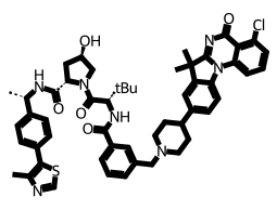 Cc1ncsc1-c1ccc([C@H](C)NC(=O)[C@@H]2C[C@@H](O)CN2C(=O)[C@@H](NC(=O)c2cccc(CN3CCC(c4ccc5c(c4)C(C)(C)c4nc(=O)c6c(Cl)cccc6n4-5)CC3)c2)C(C)(C)C)cc1